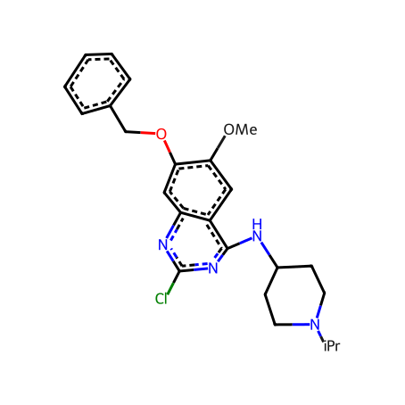 COc1cc2c(NC3CCN(C(C)C)CC3)nc(Cl)nc2cc1OCc1ccccc1